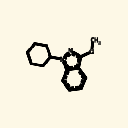 COc1nn(C2CCCCC2)c2ccccc12